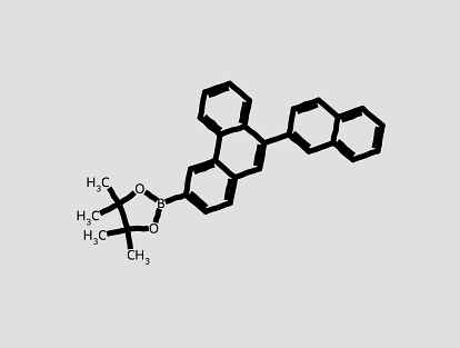 CC1(C)OB(c2ccc3cc(-c4ccc5ccccc5c4)c4ccccc4c3c2)OC1(C)C